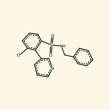 O=S(=O)(NCc1ccccc1)c1cccc(Cl)c1-c1cccnc1